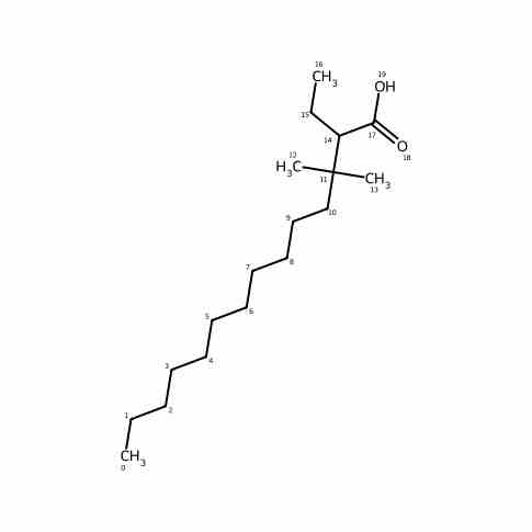 CCCCCCCCCCCC(C)(C)C(CC)C(=O)O